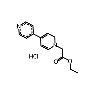 CCOC(=O)CN1C=CC(c2ccncc2)=CC1.Cl